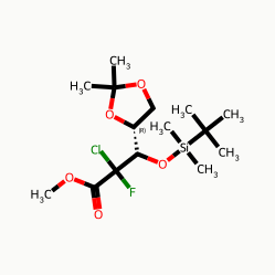 COC(=O)C(F)(Cl)C(O[Si](C)(C)C(C)(C)C)[C@H]1COC(C)(C)O1